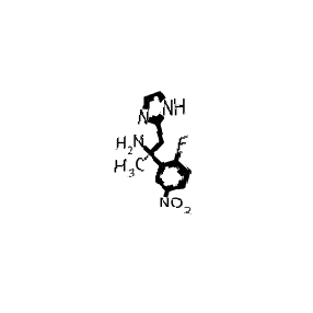 C[C@](N)(Cc1ncc[nH]1)c1cc([N+](=O)[O-])ccc1F